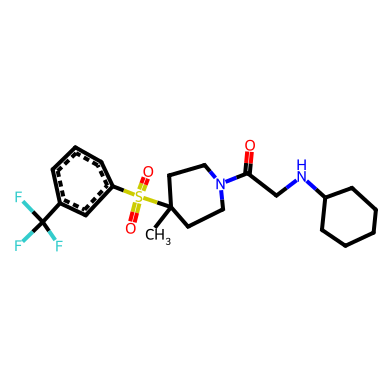 CC1(S(=O)(=O)c2cccc(C(F)(F)F)c2)CCN(C(=O)CNC2CCCCC2)CC1